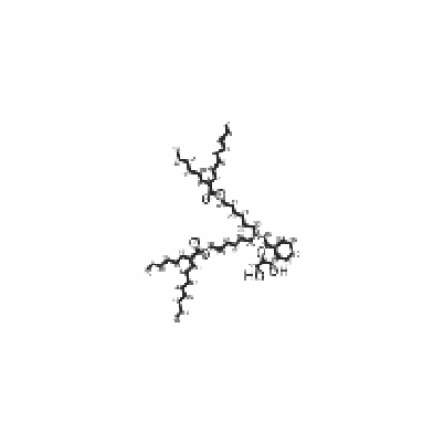 CCCCCCCCC(CCCCCC)C(=O)OCCCCCCN(CCCCCCOC(=O)C(CCCCCC)CCCCCCCC)CC(OC(CO)CO)C1CCCCC1